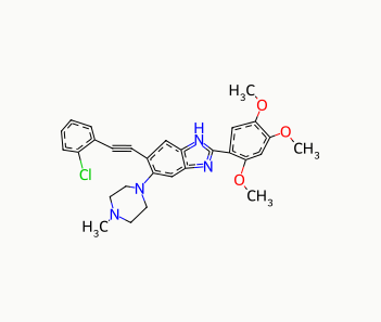 COc1cc(OC)c(-c2nc3cc(N4CCN(C)CC4)c(C#Cc4ccccc4Cl)cc3[nH]2)cc1OC